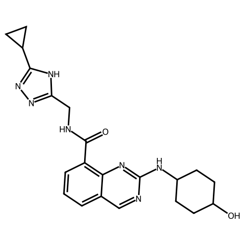 O=C(NCc1nnc(C2CC2)[nH]1)c1cccc2cnc(NC3CCC(O)CC3)nc12